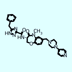 CN1C(=O)[C@@H](NC(=O)c2n[nH]c(Cc3ccccc3)n2)COc2ccc(CN3CCN(c4ccncc4)CC3)cc21